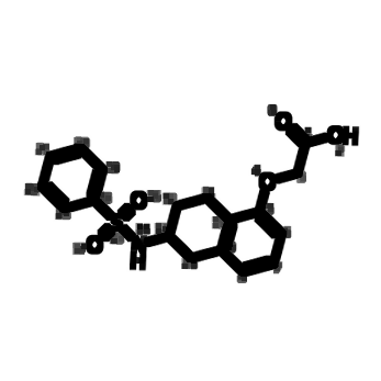 O=C(O)COc1cccc2c1CCC(NS(=O)(=O)c1ccccc1)C2